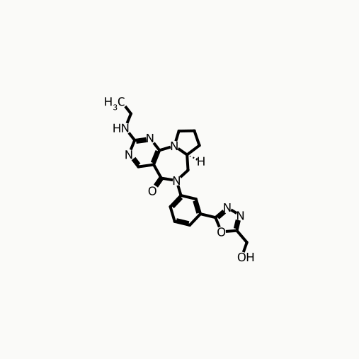 CCNc1ncc2c(n1)N1CCC[C@H]1CN(c1cccc(-c3nnc(CO)o3)c1)C2=O